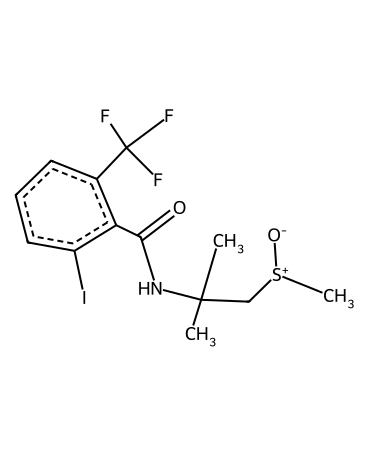 C[S+]([O-])CC(C)(C)NC(=O)c1c(I)cccc1C(F)(F)F